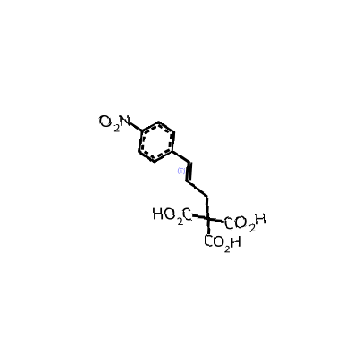 O=C(O)C(C/C=C/c1ccc([N+](=O)[O-])cc1)(C(=O)O)C(=O)O